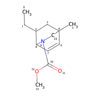 CCC1CC2(C)C=CC1N(C(=O)OC)C2